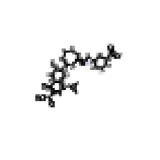 O=C(O)c1cn(C2CC2)c2cc(N3CCCC[C@@H](/N=C/c4cccc([N+](=O)[O-])c4)C3)c(F)cc2c1=O